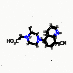 C[C@H]1CN(c2ccc(C#N)c3ncccc23)CCN1CC(=O)O